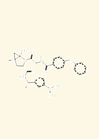 C[C@@H](NC(=O)[C@@H]1C[C@]2(C)C[C@@H]2N1C(=O)CNC(=O)c1ccc(Oc2ccccc2)cc1)c1cc(B(O)O)cs1